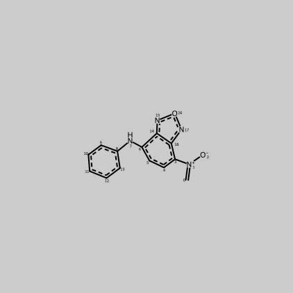 C=[N+]([O-])c1ccc(Nc2ccccc2)c2nonc12